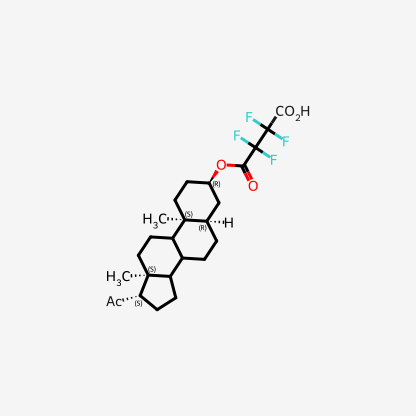 CC(=O)[C@H]1CCC2C3CC[C@@H]4C[C@H](OC(=O)C(F)(F)C(F)(F)C(=O)O)CC[C@]4(C)C3CC[C@@]21C